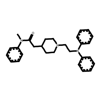 CN(C(=O)CC1CCN(CCN(c2ccccc2)c2ccccc2)CC1)c1ccccc1